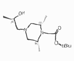 C[C@@H]1CN(C[C@@H](C)O)C[C@H](C)N1C(=O)OC(C)(C)C